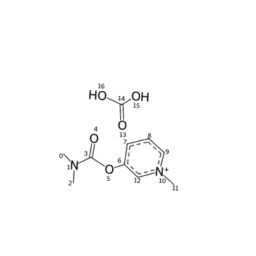 CN(C)C(=O)Oc1ccc[n+](C)c1.O=C(O)O